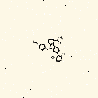 N#Cc1ccc(Cn2c3cc(-c4c(Cl)cccc4Cl)c[c]c3c3c(C(N)=O)cccc32)cc1